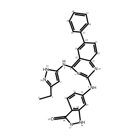 CCc1cc(Nc2nc(Nc3ccc4c(c3)N[N]C4=O)nc3ccc(-c4ccccc4)cc23)[nH]n1